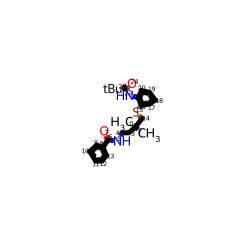 CC(C)(CCNC(=O)c1ccccc1)CSc1ccccc1NC(=O)C(C)(C)C